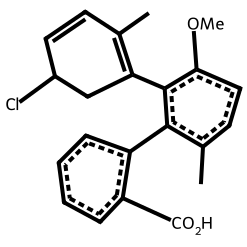 COc1ccc(C)c(-c2ccccc2C(=O)O)c1C1=C(C)C=CC(Cl)C1